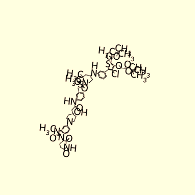 Cn1c(=O)n(C2CCC(=O)NC2=O)c2ccc(N3CCC(O)(CC(=O)Nc4cccc(CS(=O)(=O)N5CC[C@H](Nc6cccc(-c7sc(C(=O)OC(C)(C)C)c(OCC(=O)OC(C)(C)C)c7Cl)c6)CC5(C)C)c4)CC3)cc21